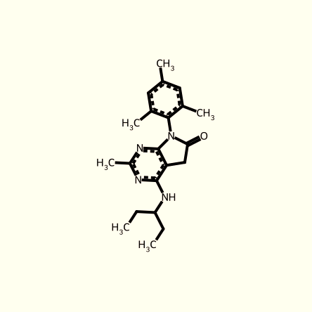 CCC(CC)Nc1nc(C)nc2c1CC(=O)N2c1c(C)cc(C)cc1C